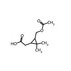 CC(=O)OCC1C(CC(=O)O)C1(C)C